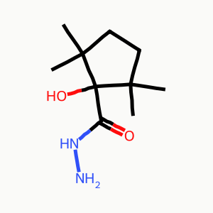 CC1(C)CCC(C)(C)C1(O)C(=O)NN